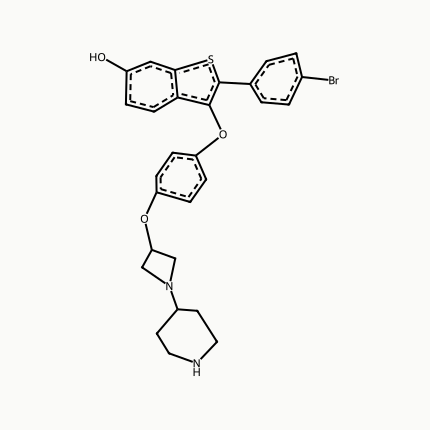 Oc1ccc2c(Oc3ccc(OC4CN(C5CCNCC5)C4)cc3)c(-c3ccc(Br)cc3)sc2c1